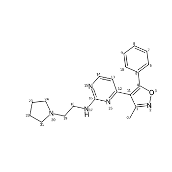 Cc1noc(-c2ccccc2)c1-c1ccnc(NCCN2CCCC2)n1